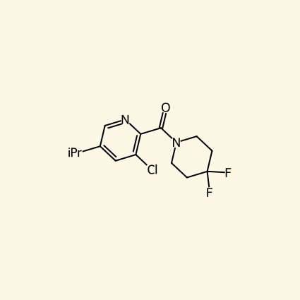 CC(C)c1cnc(C(=O)N2CCC(F)(F)CC2)c(Cl)c1